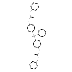 CC(c1ccccc1)(c1ccc(OC(=O)Oc2ccccc2)cc1)c1ccc(OC(=O)Oc2ccccc2)cc1